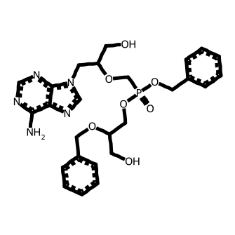 Nc1ncnc2c1ncn2CC(CO)OCP(=O)(OCc1ccccc1)OCC(CO)OCc1ccccc1